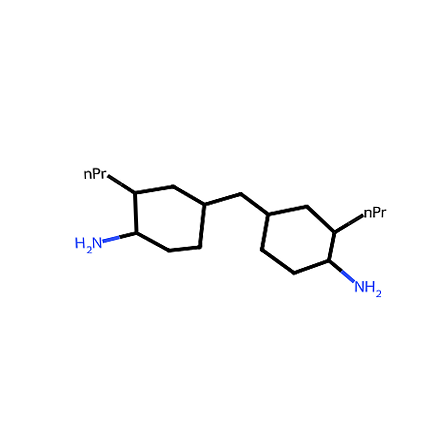 CCCC1CC(CC2CCC(N)C(CCC)C2)CCC1N